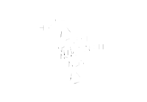 CC(C)c1ccc([C@](O)(c2cnnc(N3Cc4ccccc4C3=O)c2)C2(C)CN(C)C2)cc1